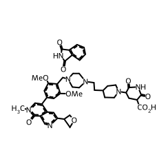 COc1cc(-c2cn(C)c(=O)c3cnc(C4COC4)cc23)cc(OC)c1CN1CCN(CCC2CCN(C3CC(C(=O)O)C(=O)NC3=O)CC2)CC1.O=C1NC(=O)c2ccccc21